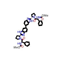 COC(=O)N[C@@H](C(=O)N1CCC[C@H]1c1nc2ccc(-c3ccc4nc([C@@H]5CCCN5C(=O)[C@H](NC(=O)OC)c5ccccc5)[nH]c4c3)cc2[nH]1)c1ccccc1